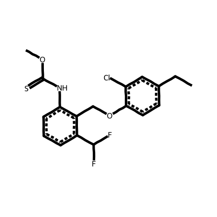 CCc1ccc(OCc2c(NC(=S)OC)cccc2C(F)F)c(Cl)c1